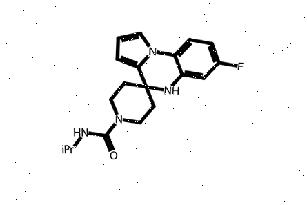 CC(C)NC(=O)N1CCC2(CC1)Nc1cc(F)ccc1-n1cccc12